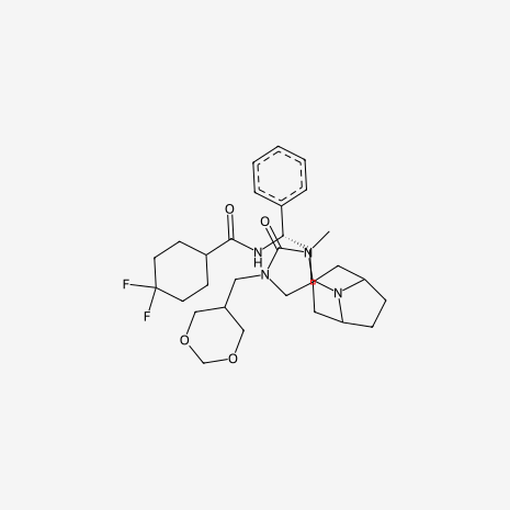 CN1C(=O)N(CC2COCOC2)CC12CC1CCC(C2)N1CC[C@H](NC(=O)C1CCC(F)(F)CC1)c1ccccc1